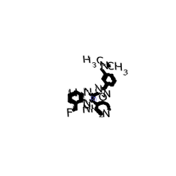 CN(C)Cc1cccc(-c2noc(/C(N)=C(\C3=CCC=NC=C3)N(N)c3ccccc3CF)n2)c1